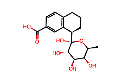 C[C@@H]1O[C@](O)([C@@H]2CCCc3ccc(C(=O)O)cc32)[C@@H](O)[C@H](O)[C@@H]1O